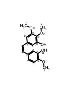 COc1ccc(/C=C\c2cc(O)c(OC)c(OC)c2)cc1O